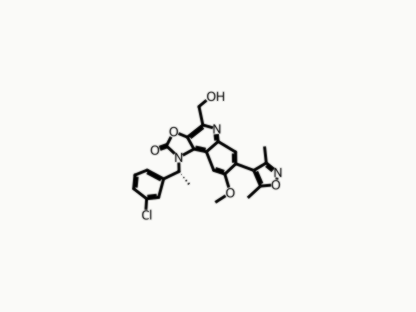 COc1cc2c(cc1-c1c(C)noc1C)nc(CO)c1oc(=O)n([C@H](C)c3cccc(Cl)c3)c12